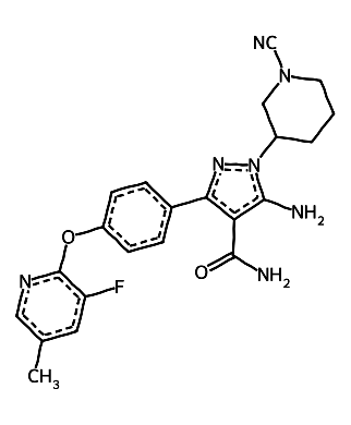 Cc1cnc(Oc2ccc(-c3nn(C4CCCN(C#N)C4)c(N)c3C(N)=O)cc2)c(F)c1